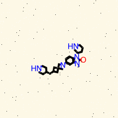 Cn1c(=O)n(C2CCCNC2)c2ccc(N3CC4(CC(CC5CCNCC5)C4)C3)cc21